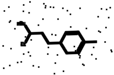 CCCCC(CC)CCC1C=CC(C)=CC1